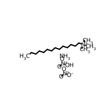 CCCCCCCCCCCCCC[N+](C)(C)C.N.O=[N+]([O-])O.O=[N+]([O-])[O-]